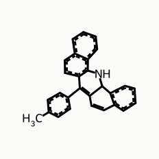 Cc1ccc(C2=C3C=Cc4ccccc4C3Nc3c2ccc2ccccc32)cc1